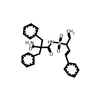 C=CC(C=Cc1ccccc1)S(=O)(=O)NC(=O)C(Cc1ccccc1)(Cc1ccccc1)C(N)=O